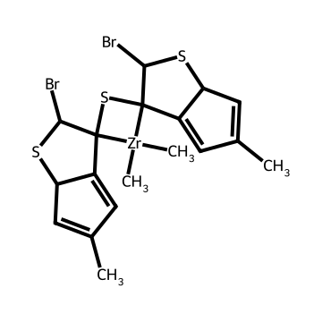 CC1=CC2SC(Br)[C]3(S[C]4(C5=CC(C)=CC5SC4Br)[Zr]3([CH3])[CH3])C2=C1